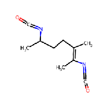 CC(CCC(C)N=C=O)=C(C)N=C=O